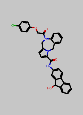 O=C(Nc1ccc2c(c1)C(O)c1ccccc1-2)c1ccc2n1Cc1ccccc1N(C(=O)COc1ccc(Cl)cc1)C2